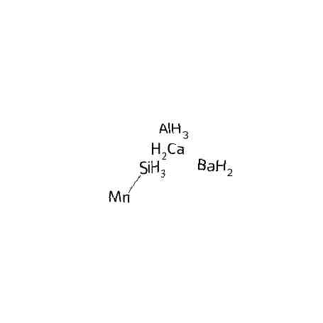 [AlH3].[BaH2].[CaH2].[SiH3][Mn]